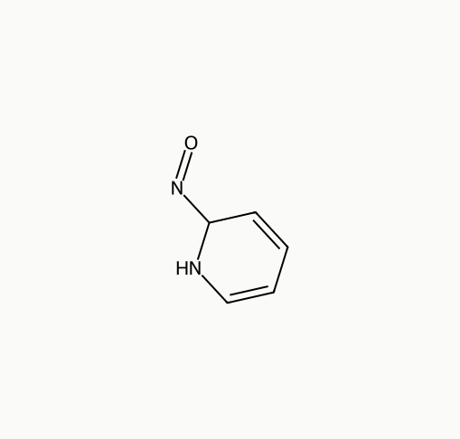 O=NC1C=CC=CN1